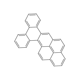 c1cc2ccc3cc4c5ccccc5c5ccccc5c4c4ccc(c1)c2c34